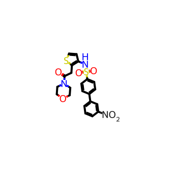 O=C(Cc1sccc1NS(=O)(=O)c1ccc(-c2cccc([N+](=O)[O-])c2)cc1)N1CCOCC1